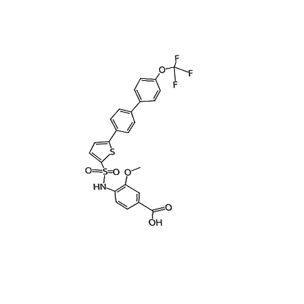 COc1cc(C(=O)O)ccc1NS(=O)(=O)c1ccc(-c2ccc(-c3ccc(OC(F)(F)F)cc3)cc2)s1